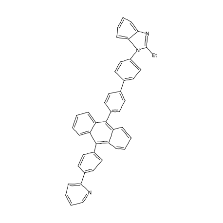 CCc1nc2ccccc2n1-c1ccc(-c2ccc(-c3c4ccccc4c(-c4ccc(-c5ccccn5)cc4)c4ccccc34)cc2)cc1